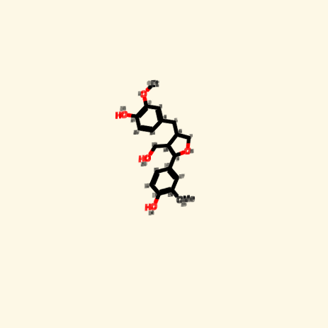 CCOc1cc(CC2COC(c3ccc(O)c(OC)c3)C2CO)ccc1O